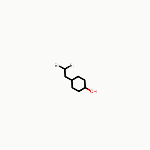 CCC(CC)CC1CCC(O)CC1